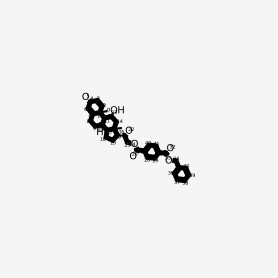 C[C@]12C=CC(=O)C=C1CC[C@@H]1C2[C@@H](O)C[C@@]2(C)C1CC[C@@H]2C(=O)COC(=O)c1ccc(C(=O)OCc2ccccc2)cc1